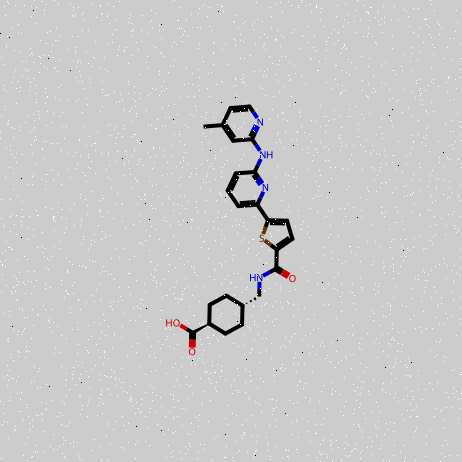 Cc1ccnc(Nc2cccc(-c3ccc(C(=O)NC[C@H]4CC[C@H](C(=O)O)CC4)s3)n2)c1